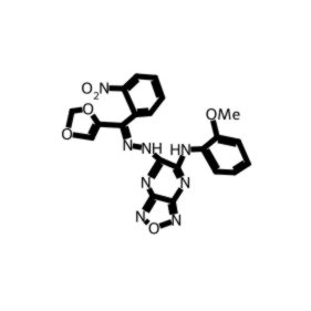 COc1ccccc1Nc1nc2nonc2nc1NN=C(C1=COCO1)c1ccccc1[N+](=O)[O-]